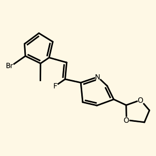 Cc1c(Br)cccc1C=C(F)c1ccc(C2OCCO2)cn1